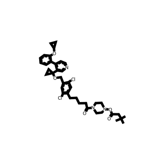 CC(C)(C)CC(=O)ON1CCN(C(=O)CCCCc2cc(Cl)c(COC3(c4cnccc4-c4ccccc4OC4CC4)CC3)cc2Cl)CC1